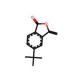 C=C1OC(=O)c2ccc(C(C)(C)C)cc21